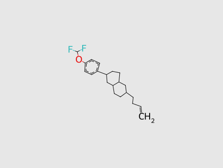 C=CCCC1CCC2CC(c3ccc(OC(F)F)cc3)CCC2C1